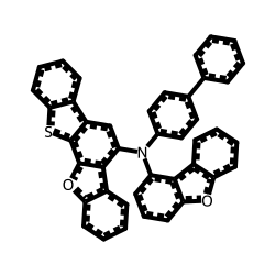 c1ccc(-c2ccc(N(c3cccc4oc5ccccc5c34)c3cc4c5ccccc5sc4c4oc5ccccc5c34)cc2)cc1